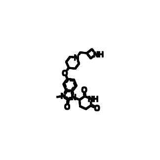 Cn1c(=O)n(C2CCC(=O)NC2=O)c2ccc(OC3CCN(CC4CNC4)CC3)cc21